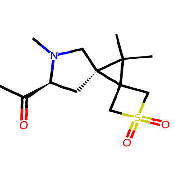 CC(=O)[C@@H]1C[C@]2(CN1C)C(C)(C)C21CS(=O)(=O)C1